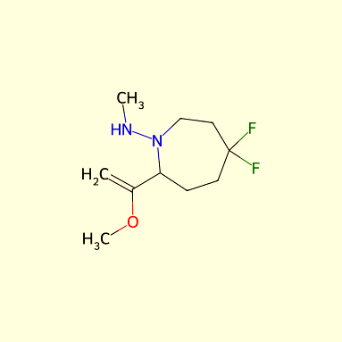 C=C(OC)C1CCC(F)(F)CCN1NC